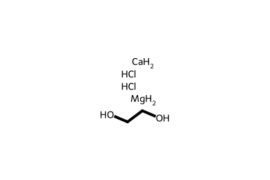 Cl.Cl.OCCO.[CaH2].[MgH2]